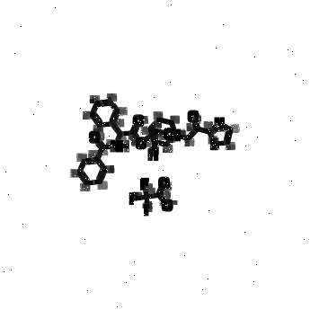 O=C(NC(C(=O)O[C@H]1C[N+]2(CC(=O)c3nccs3)CCC1CC2)c1ccccc1)c1ccccc1.O=C([O-])C(F)(F)F